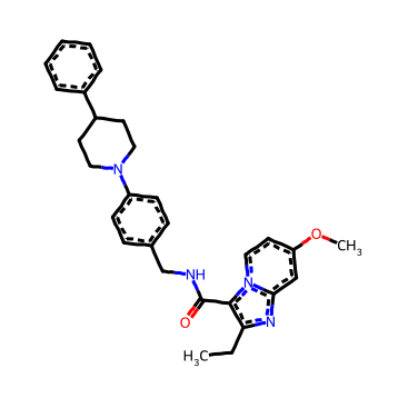 CCc1nc2cc(OC)ccn2c1C(=O)NCc1ccc(N2CCC(c3ccccc3)CC2)cc1